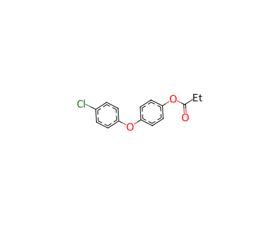 CCC(=O)Oc1ccc(Oc2ccc(Cl)cc2)cc1